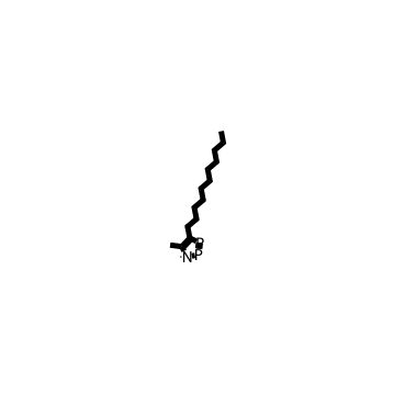 CCCCCCCCCCCC1=C(C)[N]P=P1